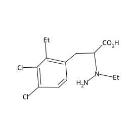 CCc1c(CC(C(=O)O)N(N)CC)ccc(Cl)c1Cl